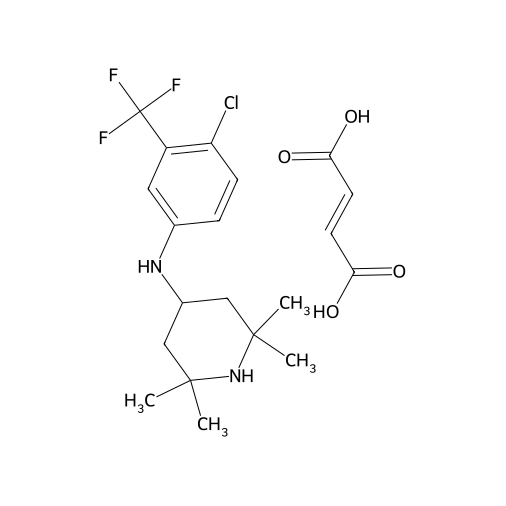 CC1(C)CC(Nc2ccc(Cl)c(C(F)(F)F)c2)CC(C)(C)N1.O=C(O)/C=C/C(=O)O